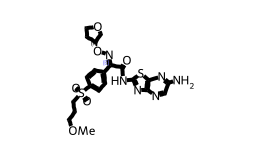 COCCCS(=O)(=O)c1ccc(/C(=N\O[C@@H]2CCOC2)C(=O)Nc2nc3ncc(N)nc3s2)cc1